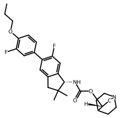 CCCOc1ccc(-c2cc3c(cc2F)[C@H](NC(=O)O[C@@H]2CN4CCC2CC4)C(C)(C)C3)cc1F